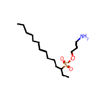 CCCCCCCCCCCC(CC)S(=O)(=O)OCCCN